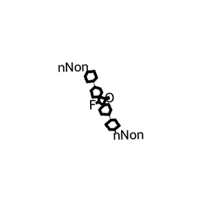 CCCCCCCCC[C@H]1CC[C@H](C2CCC3(CC2)C(=O)C2(CCC([C@H]4CC[C@H](CCCCCCCCC)CC4)CC2)C3F)CC1